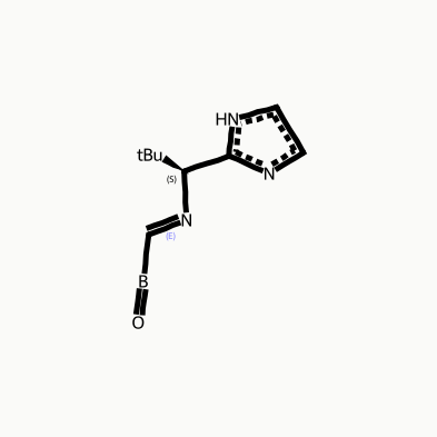 CC(C)(C)[C@H](/N=C/B=O)c1ncc[nH]1